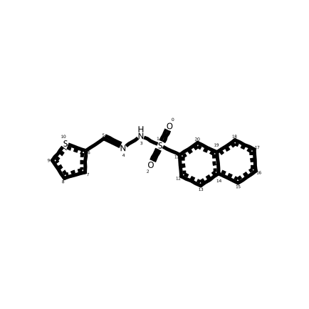 O=S(=O)(NN=Cc1cccs1)c1ccc2ccccc2c1